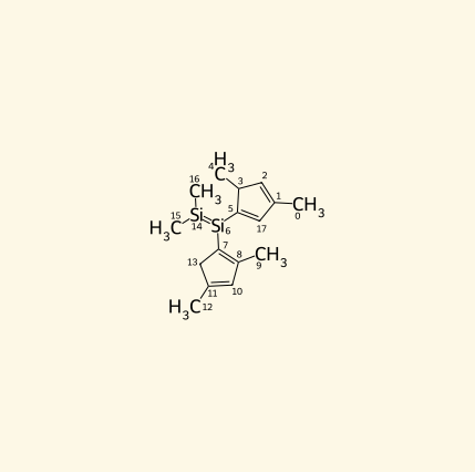 CC1=CC(C)C([Si](C2=C(C)C=C(C)C2)=[Si](C)C)=C1